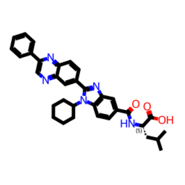 CC(C)C[C@H](NC(=O)c1ccc2c(c1)nc(-c1ccc3nc(-c4ccccc4)cnc3c1)n2C1CCCCC1)C(=O)O